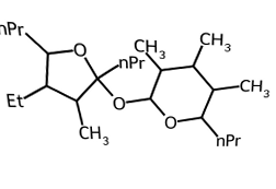 CCCC1OC(OC2(CCC)OC(CCC)C(CC)C2C)C(C)C(C)C1C